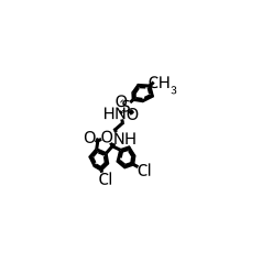 Cc1ccc(S(=O)(=O)NCCNC2(c3ccc(Cl)cc3)OC(=O)c3ccc(Cl)cc32)cc1